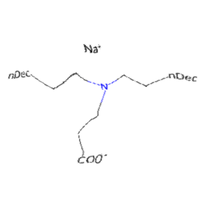 CCCCCCCCCCCCN(CCCCCCCCCCCC)CCC(=O)[O-].[Na+]